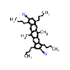 CCCCc1cc(C#N)c(CCCC)c2cc3c(C)c4cc5c(CCCC)cc(C#N)c(CCCC)c5cc4c(C)c3cc12